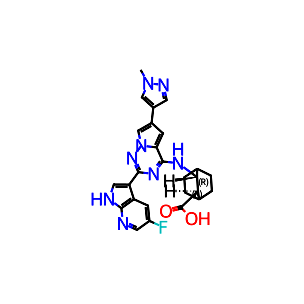 Cn1cc(-c2cc3c(N[C@@H]4C5CCC(CC5)[C@H]4C(=O)O)nc(-c4c[nH]c5ncc(F)cc45)nn3c2)cn1